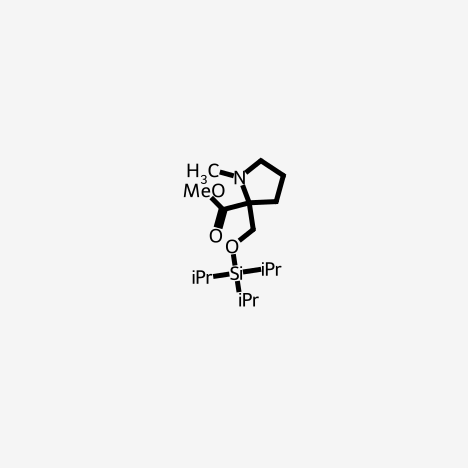 COC(=O)C1(CO[Si](C(C)C)(C(C)C)C(C)C)CCCN1C